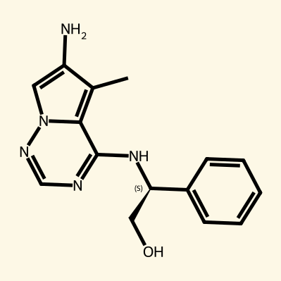 Cc1c(N)cn2ncnc(N[C@H](CO)c3ccccc3)c12